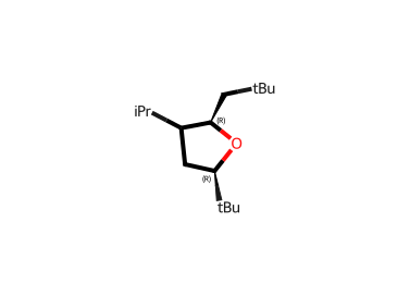 CC(C)C1C[C@H](C(C)(C)C)O[C@@H]1CC(C)(C)C